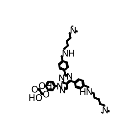 CN(C)CCCCCNCc1ccc(-c2nc(-c3ccc(CNCCCCCN(C)C)cc3)c3cnn(-c4ccccc4)c3n2)cc1.O=C(O)C(=O)O